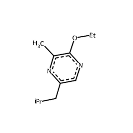 CCOc1ncc(CC(C)C)nc1C